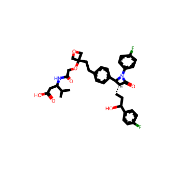 CC(C)C(CC(=O)O)NC(=O)COC1(CCc2ccc(C3[C@@H](CCC(O)c4ccc(F)cc4)C(=O)N3c3ccc(F)cc3)cc2)COC1